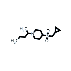 CCCC(C)N1CCC(S(=O)(=O)CC2CC2)CC1